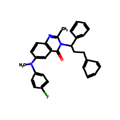 Cc1nc2ccc(N(C)c3ccc(F)cc3)cc2c(=O)n1C(CCc1ccccc1)c1ccccc1